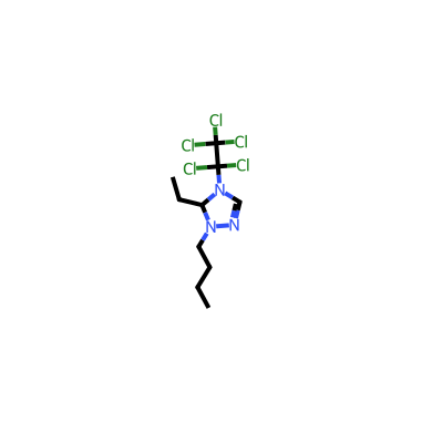 CCCCN1N=CN(C(Cl)(Cl)C(Cl)(Cl)Cl)C1CC